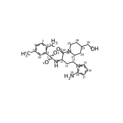 Cc1ccc(C)c(S(=O)(=O)NC(CCn2cccc2N)C(=O)N2CCC(CO)CC2)c1